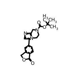 CC(C)(C)OC(=O)N1CCn2c(-c3ccc4c(c3)COC4=O)cnc2C1